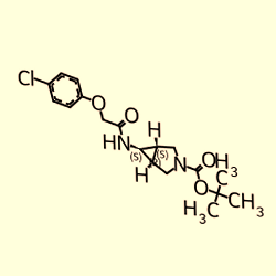 CC(C)(C)OC(=O)N1C[C@@H]2[C@H](C1)[C@H]2NC(=O)COc1ccc(Cl)cc1